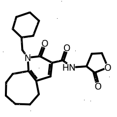 O=C(NC1CCOC1=O)c1cc2c(n(CC3CCCCC3)c1=O)CCCCCC2